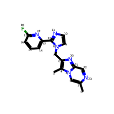 Cc1cn2c(C)c(Cn3ccnc3-c3cccc(F)n3)nc2cn1